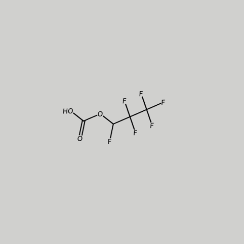 O=C(O)OC(F)C(F)(F)C(F)(F)F